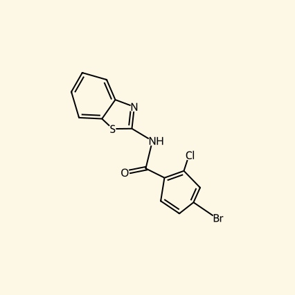 O=C(Nc1nc2ccccc2s1)c1ccc(Br)cc1Cl